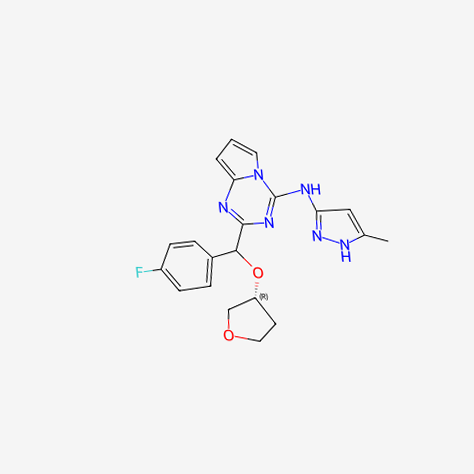 Cc1cc(Nc2nc(C(O[C@@H]3CCOC3)c3ccc(F)cc3)nc3cccn23)n[nH]1